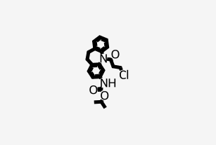 CC(C)OC(=O)Nc1ccc2c(c1)N(C(=O)CCCl)c1ccccc1CC2